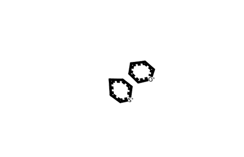 c1cc[o+]cc1.c1cc[s+]cc1